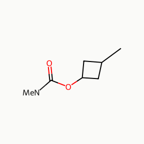 CNC(=O)OC1CC(C)C1